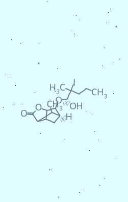 CCCC(C)(I)[C@H](O)OC1C2OC(=O)C3C2C[C@H]1C3C